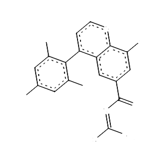 NC(N)=NC(=O)c1cc(Cl)c2nccc(-c3c(F)cc(F)cc3F)c2c1